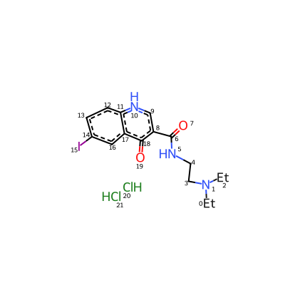 CCN(CC)CCNC(=O)c1c[nH]c2ccc(I)cc2c1=O.Cl.Cl